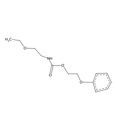 CCOCCNC(=O)OCCOc1cc[c]cc1